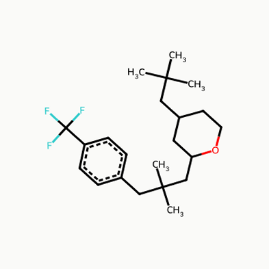 CC(C)(C)CC1CCOC(CC(C)(C)Cc2ccc(C(F)(F)F)cc2)C1